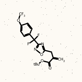 C=C(Cc1nc(C(F)(F)c2ccc(OC(F)(F)F)cc2)no1)C(=O)OC(C)(C)C